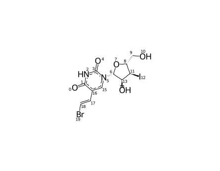 O=c1[nH]c(=O)n([C@@H]2O[C@H](CO)[C@@H](I)[C@H]2O)cc1C=CBr